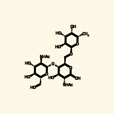 CC(=O)N[C@H]1[C@H](O[C@H]2[C@H](O)[C@@H](NC(C)=O)C(O)O[C@@H]2CO[C@@H]2O[C@@H](C)[C@@H](O)[C@@H](O)[C@@H]2O)O[C@H](CO)[C@@H](O)[C@@H]1O